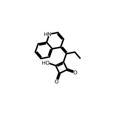 CCC(=C1C=CNc2ccccc21)c1c(O)c(=O)c1=O